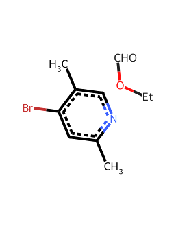 CCOC=O.Cc1cc(Br)c(C)cn1